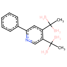 BC(B)(C)c1cnc(-c2ccccc2)cc1C(B)(B)C